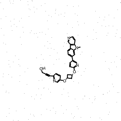 Cn1c2ccncc2c2ccc(-c3ccc(O[C@H]4C[C@H](Oc5ccc(C#CCO)nc5)C4)nc3)cc21